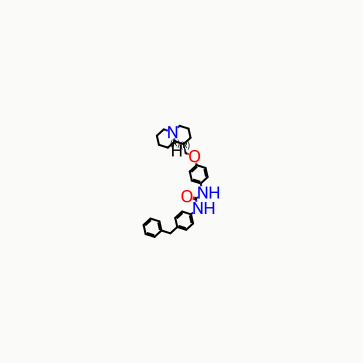 O=C(Nc1ccc(Cc2ccccc2)cc1)Nc1ccc(OC[C@@H]2CCCN3CCCC[C@H]23)cc1